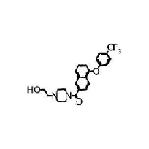 O=C(c1ccc2c(Oc3ccc(C(F)(F)F)cc3)cccc2c1)N1CCN(CCO)CC1